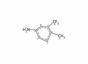 Cc1[c]cc(N)cc1C(F)(F)F